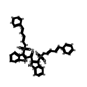 O=C(c1[nH]c2ccccc2c1S(=O)(=O)CC=CC=Cc1ccccc1)c1[nH]c2ccccc2c1S(=O)(=O)CC=CC=Cc1ccccc1